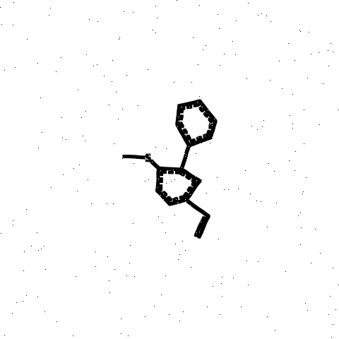 C=Cc1ccc(SC)c(-c2ccccc2)c1